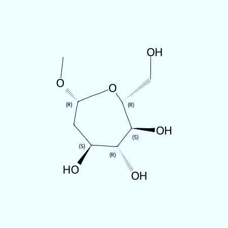 CO[C@H]1C[C@H](O)[C@@H](O)[C@H](O)[C@@H](CO)O1